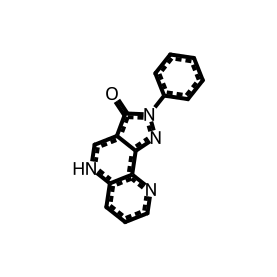 O=c1c2c[nH]c3cccnc3c-2nn1-c1ccccc1